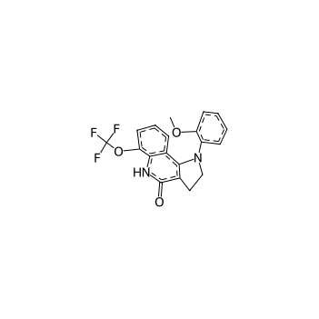 COc1ccccc1N1CCc2c1c1cccc(OC(F)(F)F)c1[nH]c2=O